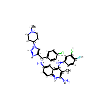 CC(C)(C)N1CCC(n2cc([C@@H](Nc3ccc4nc(N)c(C#N)c(Nc5ccc(F)c(Cl)c5)c4c3)c3ccc(Cl)cc3)nn2)CC1